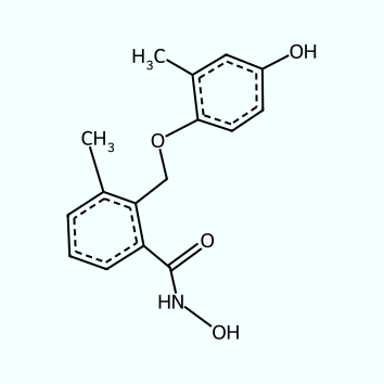 Cc1cc(O)ccc1OCc1c(C)cccc1C(=O)NO